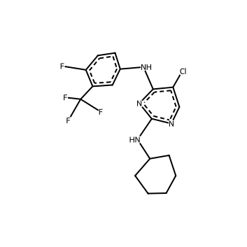 Fc1ccc(Nc2nc(NC3CCCCC3)ncc2Cl)cc1C(F)(F)F